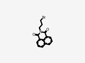 O=C1c2cccc3cccc(c23)C(=O)N1CCCBr